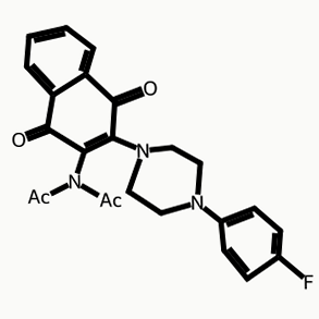 CC(=O)N(C(C)=O)C1=C(N2CCN(c3ccc(F)cc3)CC2)C(=O)c2ccccc2C1=O